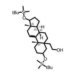 CC(C)(C)[Si](C)(C)OC1CC[C@]2(C)C3=CC[C@]4(C)C(O[Si](C)(C)C(C)(C)C)CC[C@H]4[C@@H]3CCC2(CCO)C1